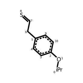 CC(C)Oc1ccc(C[C]=S)cc1